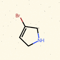 BrC1=CCN[C]1